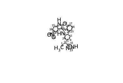 CCC(c1cccc(NC(=C2C(=O)Nc3ccc([N+](=O)[O-])cc32)c2ccccc2)c1)c1c[nH]cn1